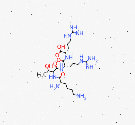 C[C@@H](O)[C@H](NC(=O)[C@@H](N)CCCCN)C(=O)N[C@@H](CCCNC(=N)N)C(=O)N[C@@H](CCCNC(=N)N)C(=O)O